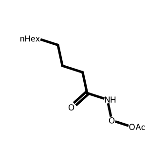 CCCCCCCCCC(=O)NOOC(C)=O